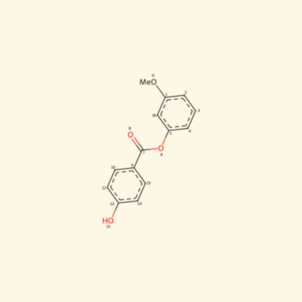 COc1cccc(OC(=O)c2ccc(O)cc2)c1